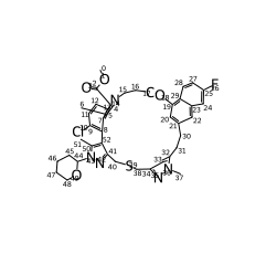 COC(=O)c1c(C)c2c3c(Cl)ccc2n1CCCOc1cc(cc2cc(F)ccc12)CCc1cc(nn1C)CSCc1nn(C2CCCCO2)c(C)c1-3